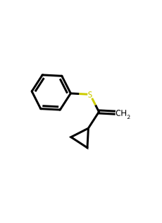 C=C(Sc1ccccc1)C1CC1